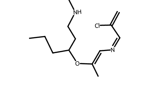 C=C(Cl)/C=N\C=C(/C)OC(CCC)CCNC